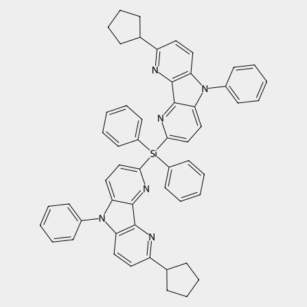 c1ccc(-n2c3ccc(C4CCCC4)nc3c3nc([Si](c4ccccc4)(c4ccccc4)c4ccc5c(n4)c4nc(C6CCCC6)ccc4n5-c4ccccc4)ccc32)cc1